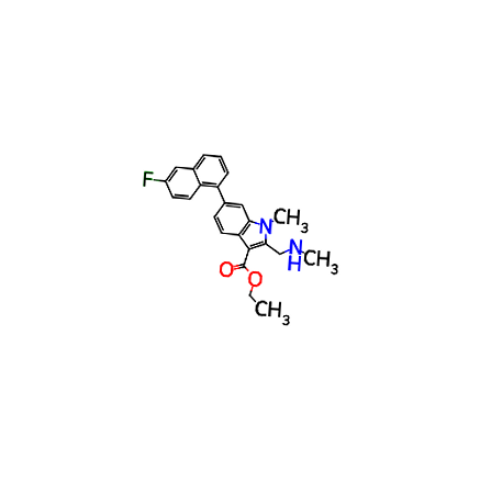 CCOC(=O)c1c(CNC)n(C)c2cc(-c3cccc4cc(F)ccc34)ccc12